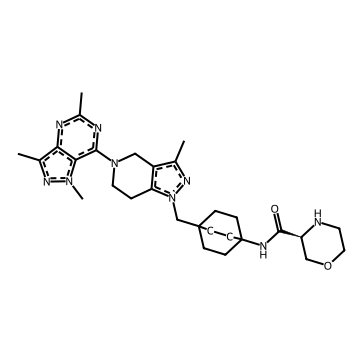 Cc1nc(N2CCc3c(c(C)nn3CC34CCC(NC(=O)[C@@H]5COCCN5)(CC3)CC4)C2)c2c(n1)c(C)nn2C